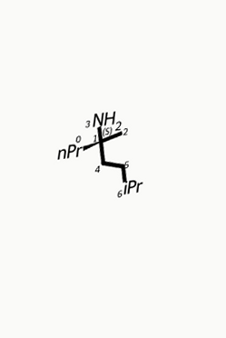 CCC[C@](C)(N)CCC(C)C